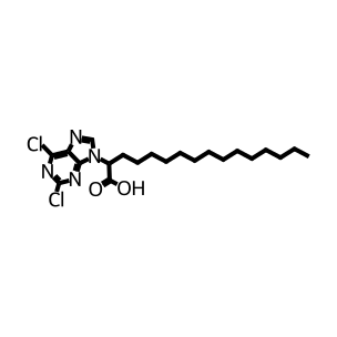 CCCCCCCCCCCCCCC(C(=O)O)n1cnc2c(Cl)nc(Cl)nc21